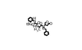 CC(NC(=O)C(=O)Nc1ccccc1C(C)(C)C)C(=O)N(OCc1ccccc1)C1COC(=O)C1